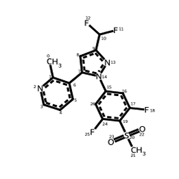 Cc1ncccc1-c1cc(C(F)F)nn1-c1cc(F)c(S(C)(=O)=O)c(F)c1